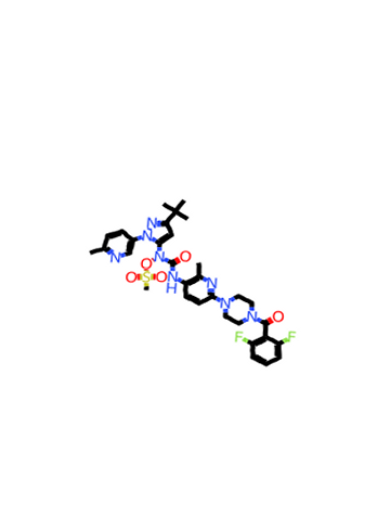 Cc1ccc(-n2nc(C(C)(C)C)cc2N(OS(C)(=O)=O)C(=O)Nc2ccc(N3CCN(C(=O)c4c(F)cccc4F)CC3)nc2C)cn1